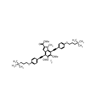 COC(=O)c1cc2c(C#Cc3ccc(OCCC[N+](C)(C)C)cc3)c(OC)c(OC)c(C#Cc3ccc(OCCC[N+](C)(C)C)cc3)c2n1C.[I-].[I-]